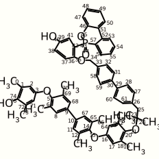 Cc1cc(Oc2c(C)cc(-c3cc(C)c(Oc4cc(C)c(OC(C)(C)Cc5ccc(-c6ccc(COc7ccc(O)cc7P7(=O)Oc8ccccc8-c8ccccc87)cc6)cc5)c(C)c4)c(C)c3)cc2C)cc(C)c1O